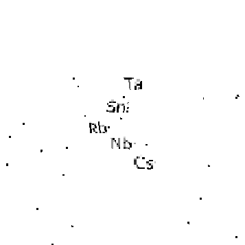 [Cs].[Nb].[Rb].[Sn].[Ta]